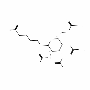 CC(=O)N[C@H]1C(OCCCCC(=O)O)O[C@H](COC(C)=O)[C@H](OC(C)=O)[C@@H]1OC(C)=O